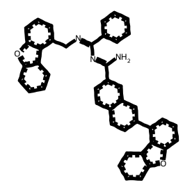 N/C(=N\C(=N/Cc1cccc2oc3ccccc3c12)c1ccccc1)c1ccc2ccc(-c3cccc4oc5ccccc5c34)cc2c1